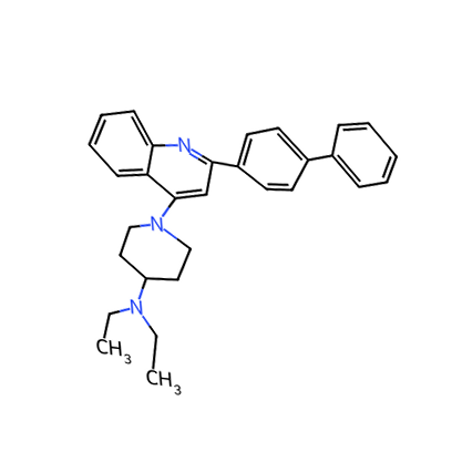 CCN(CC)C1CCN(c2cc(-c3ccc(-c4ccccc4)cc3)nc3ccccc23)CC1